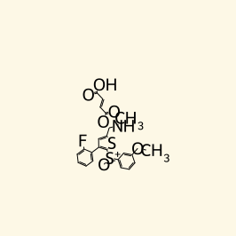 CNC(OC(=O)/C=C/C(=O)O)c1cc(-c2ccccc2F)c([S+]([O-])c2cccc(OC)c2)s1